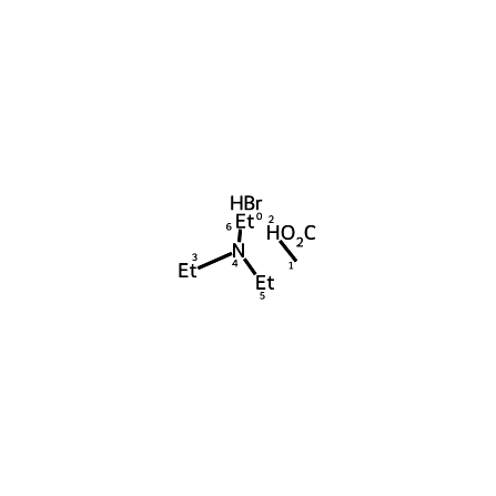 Br.CC(=O)O.CCN(CC)CC